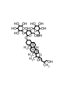 C[C@@H](CO)CCC1(O)OC2C[C@H]3[C@@H]4CC=C5CC(O[C@@H]6OC(CO)[C@@H](O[C@@H]7OC(CO)[C@@H](O)C(O)[C@@H]7O)C(O)[C@@H]6O[C@@H]6OC(O)[C@H](O)C(O)[C@@H]6O)CC[C@]5(C)[C@H]4CC[C@]3(C)[C@H]2[C@@H]1C